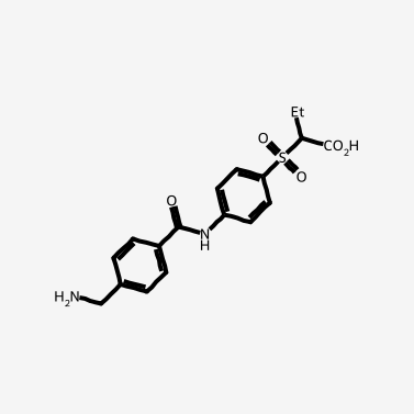 CCC(C(=O)O)S(=O)(=O)c1ccc(NC(=O)c2ccc(CN)cc2)cc1